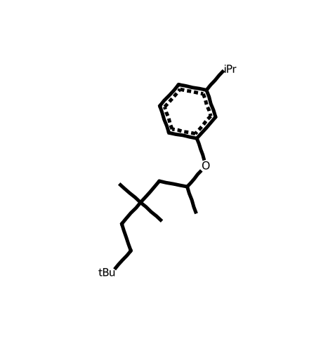 CC(CC(C)(C)CCC(C)(C)C)Oc1cccc(C(C)C)c1